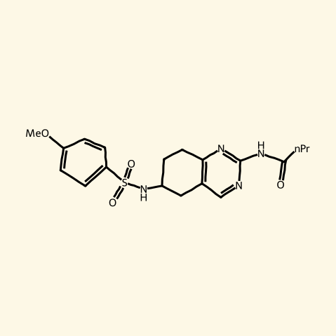 CCCC(=O)Nc1ncc2c(n1)CCC(NS(=O)(=O)c1ccc(OC)cc1)C2